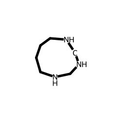 C1CCNCNCNC1